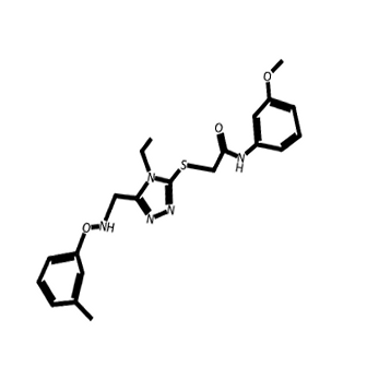 CCn1c(CNOc2cccc(C)c2)nnc1SCC(=O)Nc1cccc(OC)c1